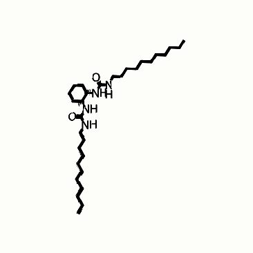 CCCCCCCCCCCNC(=O)N[C@@H]1CCCC[C@H]1NC(=O)NCCCCCCCCCCC